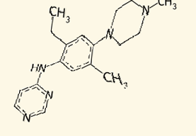 CCc1cc(N2CCN(C)CC2)c(C)cc1Nc1ccncn1